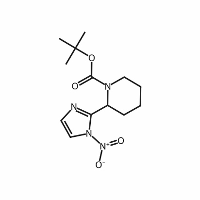 CC(C)(C)OC(=O)N1CCCCC1c1nccn1[N+](=O)[O-]